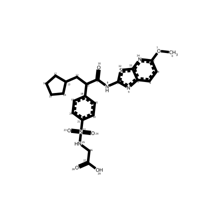 COc1ccc2nc(NC(=O)C(CC3CCCC3)c3ccc(S(=O)(=O)NCC(=O)O)cc3)sc2n1